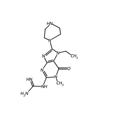 CCn1c(N2CCNCC2)nc2nc(NC(=N)N)n(C)c(=O)c21